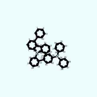 c1ccc(-c2cccc3c2c2ccccc2n3-c2ccccc2-c2ccc(N(c3ccccc3)c3ccccc3)cc2)cc1